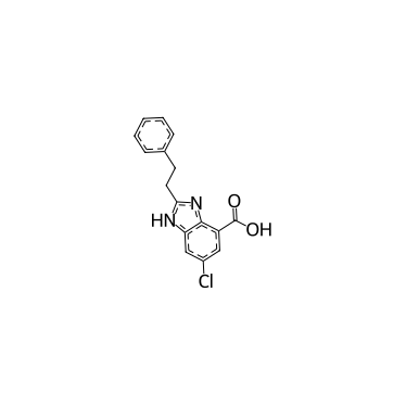 O=C(O)c1cc(Cl)cc2[nH]c(CCc3ccccc3)nc12